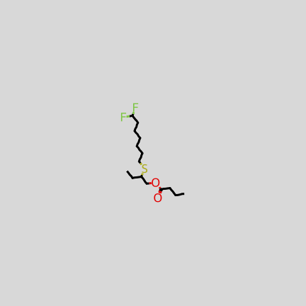 CCCC(=O)OCC(CC)SCCCCCCC(F)F